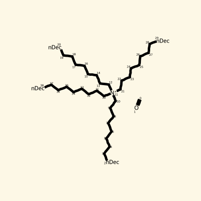 C=O.CCCCCCCCCCCCCCCCCC[N+](CCCCCCCCCCCCCCCCCC)(CCCCCCCCCCCCCCCCCC)CCCCCCCCCCCCCCCCCC